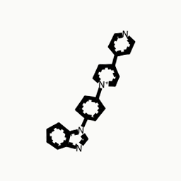 c1ccc2c(c1)ncn2-c1ccc(-[n+]2ccc(-c3ccncc3)cc2)cc1